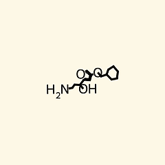 NCCC(O)c1cc(OCC2CCCCC2)co1